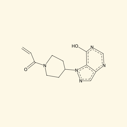 C=CC(=O)N1CCC(n2ncc3ncnc(O)c32)CC1